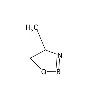 CC1COB=N1